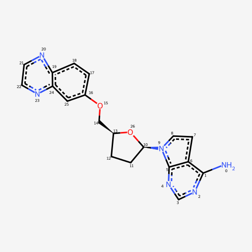 Nc1ncnc2c1ccn2[C@H]1CC[C@@H](COc2ccc3nccnc3c2)O1